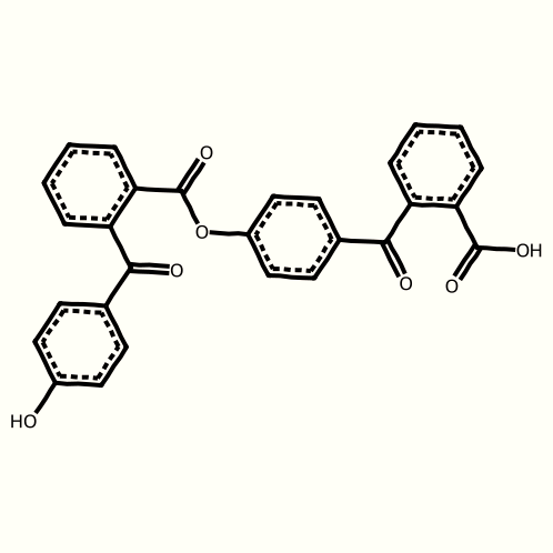 O=C(O)c1ccccc1C(=O)c1ccc(OC(=O)c2ccccc2C(=O)c2ccc(O)cc2)cc1